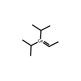 C[CH]=[Ge]([CH](C)C)[CH](C)C